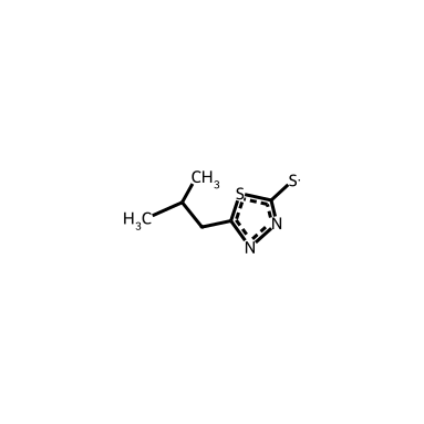 CC(C)Cc1nnc([S])s1